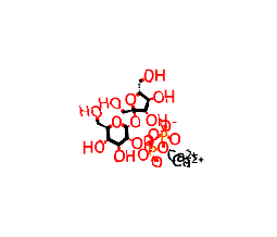 O=P([O-])([O-])OP(=O)([O-])[O-].OC[C@H]1O[C@@](CO)(O[C@H]2O[C@H](CO)[C@@H](O)[C@H](O)[C@H]2O)[C@@H](O)[C@@H]1O.[Ca+2].[Ca+2]